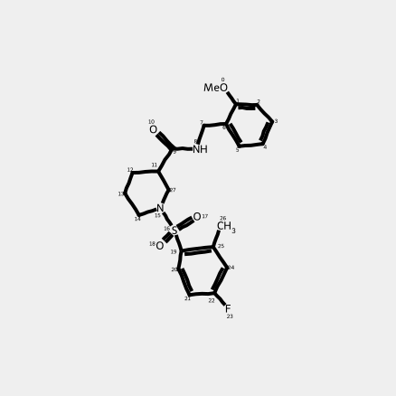 COc1ccccc1CNC(=O)C1CCCN(S(=O)(=O)c2ccc(F)cc2C)C1